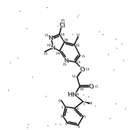 Cc1ccccc1[C@H](C)NC(=O)COc1cc(C)c2c(Cl)nn(C)c2n1